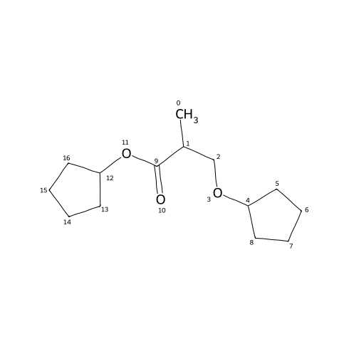 CC(COC1CCCC1)C(=O)OC1CCCC1